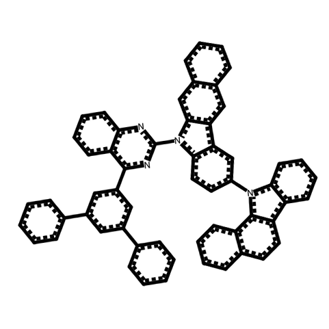 c1ccc(-c2cc(-c3ccccc3)cc(-c3nc(-n4c5ccc(-n6c7ccccc7c7ccc8ccccc8c76)cc5c5cc6ccccc6cc54)nc4ccccc34)c2)cc1